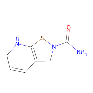 NC(=O)N1CC2=C(NCC=C2)S1